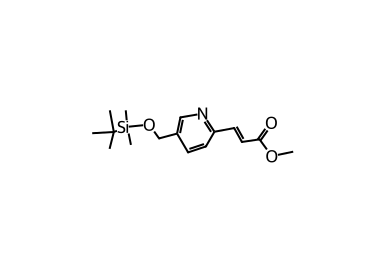 COC(=O)/C=C/c1ccc(CO[Si](C)(C)C(C)(C)C)cn1